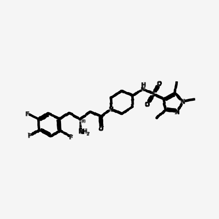 Cc1nn(C)c(C)c1S(=O)(=O)NC1CCN(C(=O)C[C@H](N)Cc2cc(F)c(F)cc2F)CC1